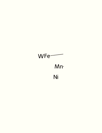 [CH3][Fe].[Mn].[Ni].[W]